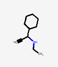 C#CC(NCC)C1CCCCC1